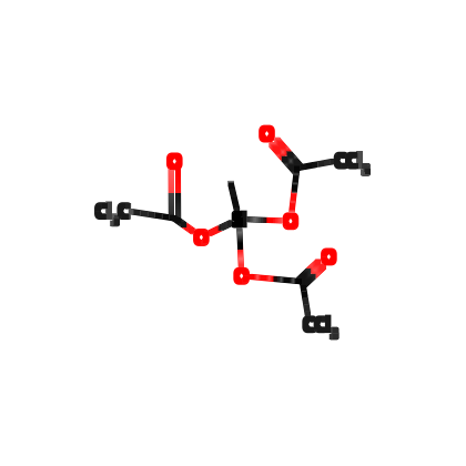 C[Si](OC(=O)C(Cl)(Cl)Cl)(OC(=O)C(Cl)(Cl)Cl)OC(=O)C(Cl)(Cl)Cl